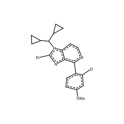 CCc1nc2c(-c3ccc(OC)cc3Cl)nccc2n1C(C1CC1)C1CC1